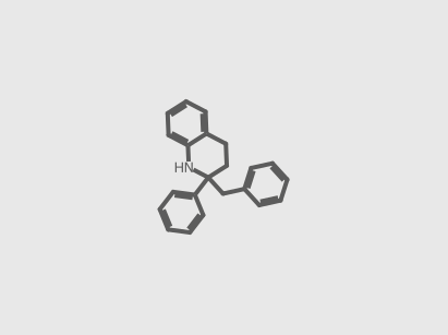 c1ccc(CC2(c3ccccc3)CCc3ccccc3N2)cc1